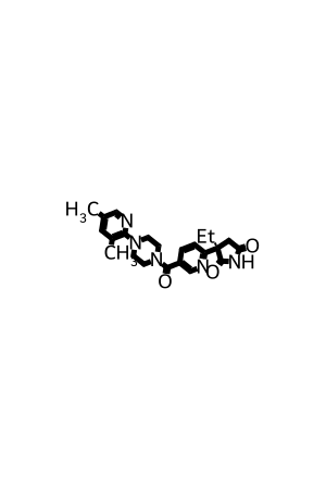 CC[C@]1(c2ccc(C(=O)N3CCN(c4ncc(C)cc4C)CC3)cn2)CC(=O)NC1=O